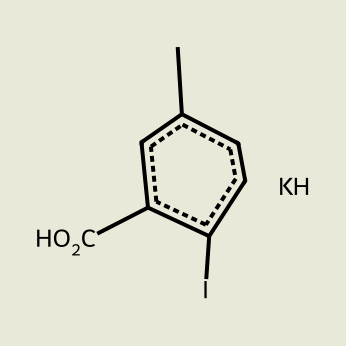 Cc1ccc(I)c(C(=O)O)c1.[KH]